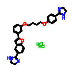 Cl.Cl.c1cc(OCCCCOc2ccc(C3=NCCN3)cc2)cc(-c2cc3cc(C4=NCCN4)ccc3o2)c1